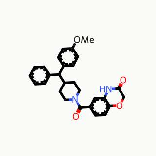 COc1ccc(C(c2ccccc2)C2CCN(C(=O)c3ccc4c(c3)NC(=O)CO4)CC2)cc1